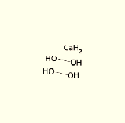 OO.OO.[CaH2]